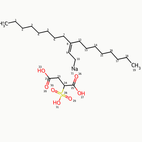 CCCCCCCCC(=C[CH2][Na])CCCCCCCC.O=C(O)CC(C(=O)O)S(=O)(=O)O